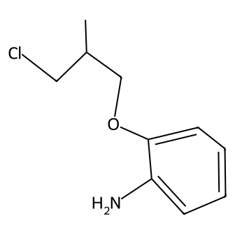 CC(CCl)COc1ccccc1N